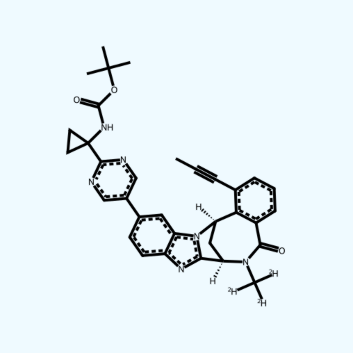 [2H]C([2H])([2H])N1C(=O)c2cccc(C#CC)c2[C@H]2C[C@@H]1c1nc3ccc(-c4cnc(C5(NC(=O)OC(C)(C)C)CC5)nc4)cc3n12